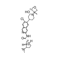 CN(C)C1CC[C@H]2[C@@H](C(=O)Nc3cc4cc(C5CCN([C@@]6(C)COC[C@H]6O)CC5)c(Cl)cc4cn3)[C@@H]12